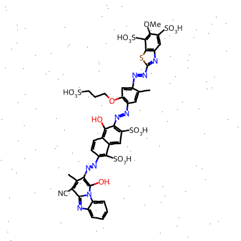 COc1c(S(=O)(=O)O)cc2nc(N=Nc3cc(OCCCS(=O)(=O)O)c(N=Nc4c(S(=O)(=O)O)cc5c(S(=O)(=O)O)c(N=Nc6c(C)c(C#N)c7nc8ccccc8n7c6O)ccc5c4O)cc3C)sc2c1S(=O)(=O)O